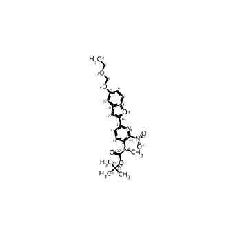 CCOCOc1ccc2oc(-c3ccc(N(C)C(=O)OC(C)(C)C)c([N+](=O)[O-])n3)cc2c1